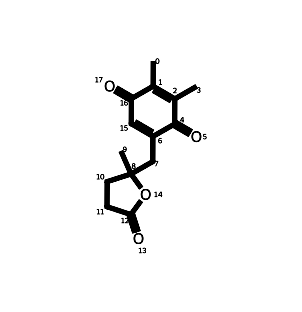 CC1=C(C)C(=O)C(CC2(C)CCC(=O)O2)=CC1=O